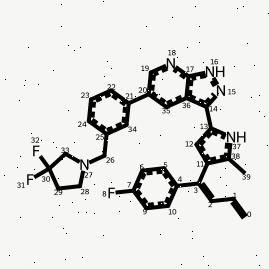 C=C/C=C(/c1ccc(F)cc1)c1cc(-c2n[nH]c3ncc(-c4cccc(CN5CCC(F)(F)C5)c4)cc23)[nH]c1C